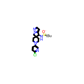 CC(C)(C)[S+]([O-])N[C@@H]1c2ccnn2CC12CCN(c1ccc(Cl)nc1)CC2